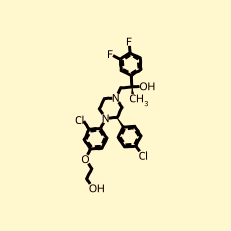 C[C@@](O)(CN1CCN(c2ccc(OCCO)cc2Cl)[C@H](c2ccc(Cl)cc2)C1)c1ccc(F)c(F)c1